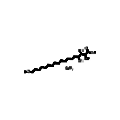 O=C(O)C(O)C(O)C(O)CCCCCCCCCCCCCCO.[CaH2]